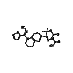 CCCC(=O)N1N=C(c2ccc3c(c2)CCCN3C(=NC(C)C)c2cccs2)C(C)(C)SC1=O